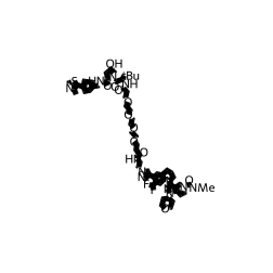 CNC(=O)N1CCc2c(c(N3CCCc4cc(-c5cnn(CCNC(=O)CCOCCOCCOCCOCCC(=O)NC(C(=O)N6C[C@H](O)C[C@H]6C(=O)NCc6ccc(-c7scnc7C)cc6)C(C)(C)C)c5)c(C(F)F)cc43)nn2C2CCOCC2)C1